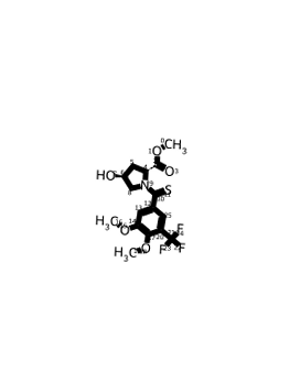 COC(=O)[C@H]1C[C@H](O)CN1C(=S)c1cc(OC)c(OC)c(C(F)(F)F)c1